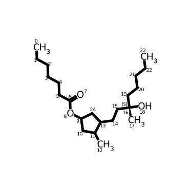 CCCCCCC(=O)OC1CC(C)C(CC[C@@](C)(O)CCCCC)C1